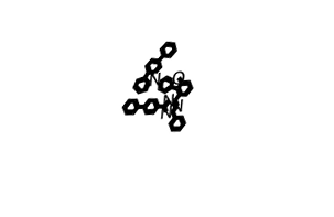 c1ccc(-c2ccc(-c3nc(-c4ccccc4)nc(-c4cccc5oc6cc(-n7c8ccccc8c8ccc(-c9ccccc9)cc87)ccc6c45)n3)cc2)cc1